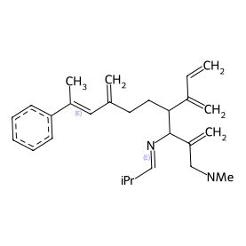 C=CC(=C)C(CCC(=C)/C=C(\C)c1ccccc1)C(/N=C/C(C)C)C(=C)CNC